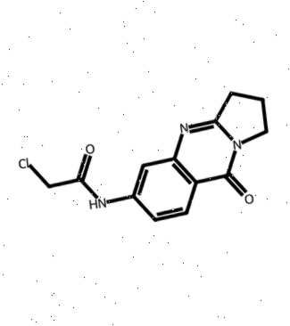 O=C(CCl)Nc1ccc2c(=O)n3c(nc2c1)CCC3